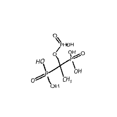 CC(O[PH](=O)O)(P(=O)(O)O)P(=O)(O)O